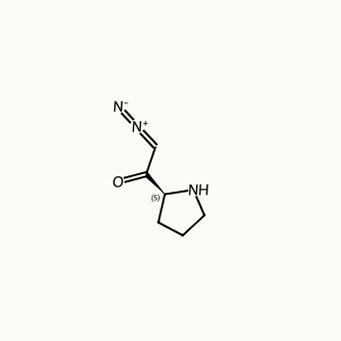 [N-]=[N+]=CC(=O)[C@@H]1CCCN1